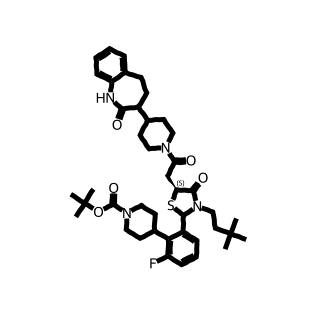 CC(C)(C)CCN1C(=O)[C@H](CC(=O)N2CCC(C3CCc4ccccc4NC3=O)CC2)SC1c1cccc(F)c1C1CCN(C(=O)OC(C)(C)C)CC1